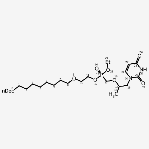 CCCCCCCCCCCCCCCCCCOCCOP(=O)(COC(C)Cn1ccc(=O)[nH]c1=O)OCC